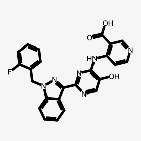 O=C(O)c1cnccc1Nc1nc(-c2nn(Cc3ccccc3F)c3ccccc23)ncc1O